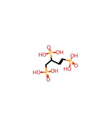 O=P(O)(O)C=CC(CP(=O)(O)O)P(=O)(O)O